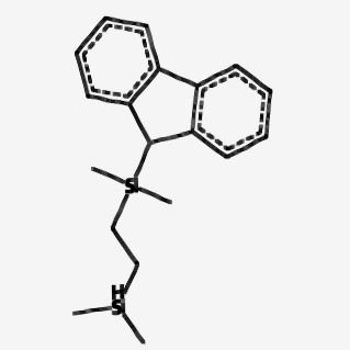 C[SiH](C)CC[Si](C)(C)C1c2ccccc2-c2ccccc21